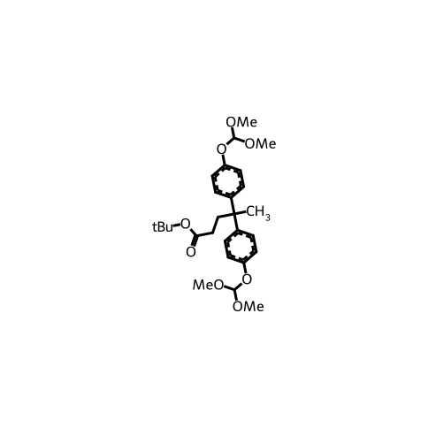 COC(OC)Oc1ccc(C(C)(CCC(=O)OC(C)(C)C)c2ccc(OC(OC)OC)cc2)cc1